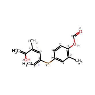 C=C(O)/C(C)=C\C(=C/C)Sc1ccc(OC=O)c(C)c1